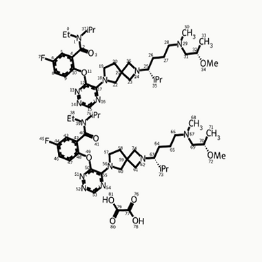 CCN(C(=O)c1cc(F)ccc1Oc1nncnc1N1CCC2(C1)CN([C@H](CCCN(C)C[C@H](C)OC)C(C)C)C2)C(C)C.CCN(C(=O)c1cc(F)ccc1Oc1nncnc1N1CCC2(C1)CN([C@H](CCCN(C)C[C@H](C)OC)C(C)C)C2)C(C)C.O=C(O)C(=O)O